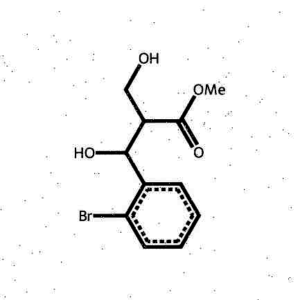 COC(=O)C(CO)C(O)c1ccccc1Br